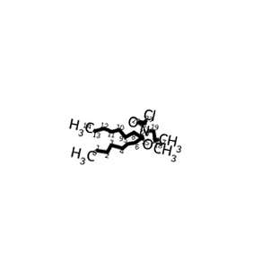 CCCCCCCC1(CCCCCCC)OC(C)(C)CN1C(=O)Cl